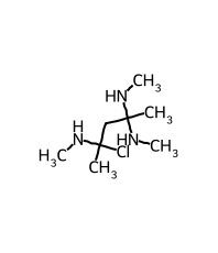 CNC(C)(Cl)CC(C)(NC)NC